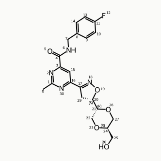 Cc1nc(C(=O)NCc2ccc(F)cc2)cc(C2=NO[C@H]([C@H]3CO[C@H](CO)CO3)C2)n1